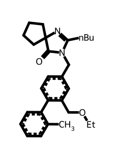 CCCCC1=NC2(CCCC2)C(=O)N1Cc1ccc(-c2ccccc2C)c(COCC)c1